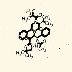 CC(=O)NC(c1ccccc1)[C@@H](C(=O)C1=NC(C)(C)CO1)N1C(=O)[C@H](C(C)C)N(C(=O)C(C)C)C=C1c1ccccc1